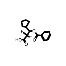 O=C(OC(C1CCCC1)C(F)(F)C(=O)O)c1ccccc1